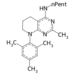 CCCCCNc1nc(C)nc2c1CCCN2c1c(C)cc(C)cc1C